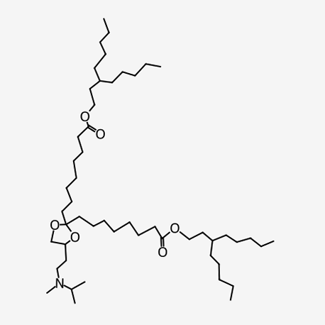 CCCCCC(CCCCC)CCOC(=O)CCCCCCCC1(CCCCCCCC(=O)OCCC(CCCCC)CCCCC)OCC(CCN(C)C(C)C)O1